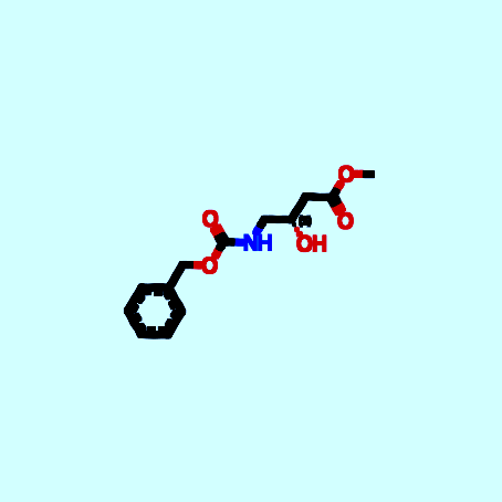 COC(=O)C[C@H](O)CNC(=O)OCc1ccccc1